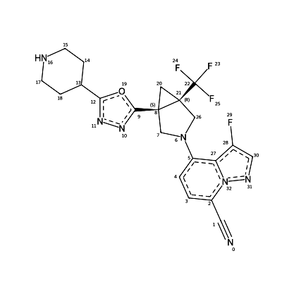 N#Cc1ccc(N2C[C@]3(c4nnc(C5CCNCC5)o4)C[C@]3(C(F)(F)F)C2)c2c(F)cnn12